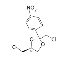 O=[N+]([O-])c1ccc(C2(CCl)OC[C@@H](CCl)O2)cc1